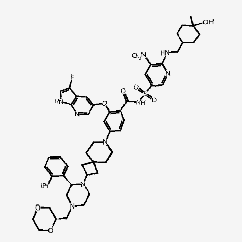 CC(C)c1ccccc1[C@@H]1CN(C[C@@H]2COCCO2)CCN1C1CC2(CCN(c3ccc(C(=O)NS(=O)(=O)c4cnc(NCC5CCC(C)(O)CC5)c([N+](=O)[O-])c4)c(Oc4cnc5[nH]cc(F)c5c4)c3)CC2)C1